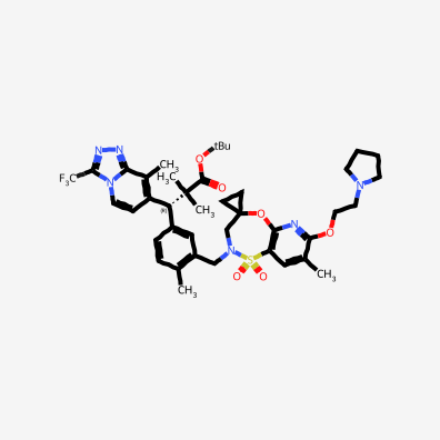 Cc1ccc([C@H](c2ccn3c(C(F)(F)F)nnc3c2C)C(C)(C)C(=O)OC(C)(C)C)cc1CN1CC2(CC2)Oc2nc(OCCN3CCCC3)c(C)cc2S1(=O)=O